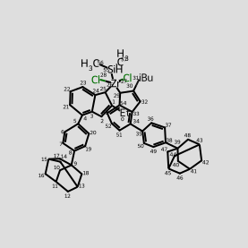 CCC1=Cc2c(-c3ccc(C45CC6CC(CC(C6)C4)C5)cc3)cccc2[CH]1[Zr]([Cl])([Cl])([CH]1C(C(C)CC)=Cc2c(-c3ccc(C45CC6CC(CC(C6)C4)C5)cc3)cccc21)[SiH](C)C